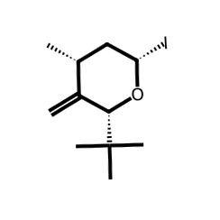 C=C1[C@H](C)C[C@H](I)O[C@@H]1C(C)(C)C